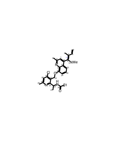 C=C/C(C)=C(\NC)c1cc(C)nc2c(OCc3c(Cl)cc(C)nc3C(C)NC(=O)CC)cccc12